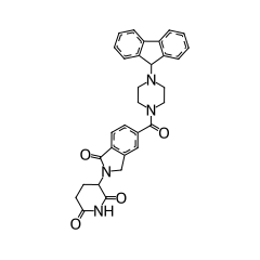 O=C1CCC(N2Cc3cc(C(=O)N4CCN(C5c6ccccc6-c6ccccc65)CC4)ccc3C2=O)C(=O)N1